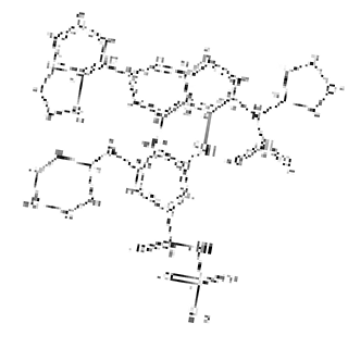 CS(=O)(=O)NC(=O)c1cc(Nc2c(N(C3CCOC3)[SH](=O)=O)cnc3cc(-c4cncc5c4OCC5)cc(F)c23)cc(OC2CCOCC2)c1